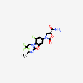 CCN=c1oc2cc(N3C[C@H](C(N)=O)OC3=O)cc(F)c2n1CC(F)(F)F